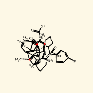 CCC1(C(C)C(N)=O)Cc2ccc(cc2)[C@@]1(C(=O)NC(=O)O)N1CCCC1N(c1ccc(F)cc1)C1CCCN1[C@]1(C(=O)NC(=O)O)c2ccc(cc2)CC1(CC)C(C)C(N)=O